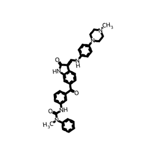 CN1CCN(c2ccc(N/C=C3/C(=O)Nc4cc(C(=O)c5cccc(NC(=O)N(C)c6ccccc6)c5)ccc43)cc2)CC1